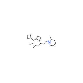 CCCC(CCN1CCCCC1C)C1CCC1C(CC)C1CCC1